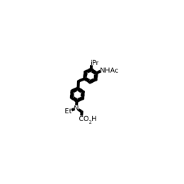 CCN(CC(=O)O)c1ccc(Cc2ccc(NC(C)=O)c(C(C)C)c2)cc1